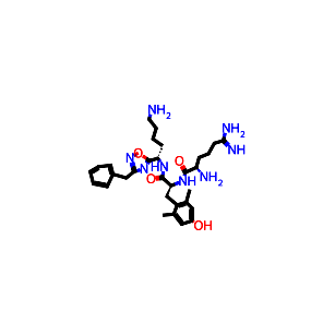 Cc1cc(O)cc(C)c1C[C@H](NC(=O)[C@H](N)CCCC(=N)N)C(=O)N[C@@H](CCCCN)c1nc(Cc2ccccc2)no1